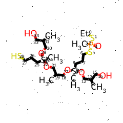 CCSP(C)(=O)SCCC[Si](C)(OCC(C)CO)OCC(C)CO[Si](C)(CCCS)OCC(C)CO